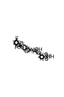 CNS(=O)(=O)c1cccc(OCC(O)CN[C@H]2COC3(CCN(S(=O)(=O)c4cc(C)ccc4F)CC3)C2)c1